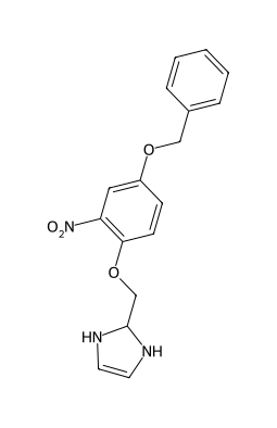 O=[N+]([O-])c1cc(OCc2ccccc2)ccc1OCC1NC=CN1